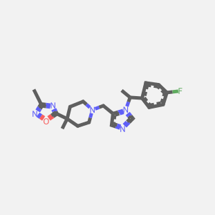 Cc1noc(C2(C)CCN(Cc3cncn3C(C)c3ccc(F)cc3)CC2)n1